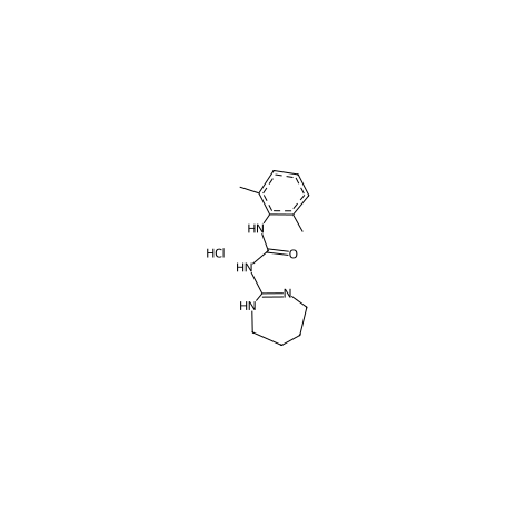 Cc1cccc(C)c1NC(=O)NC1=NCCCCN1.Cl